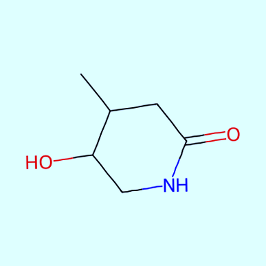 CC1CC(=O)NCC1O